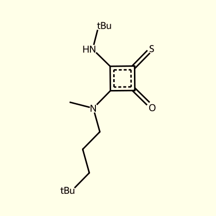 CN(CCCC(C)(C)C)c1c(NC(C)(C)C)c(=S)c1=O